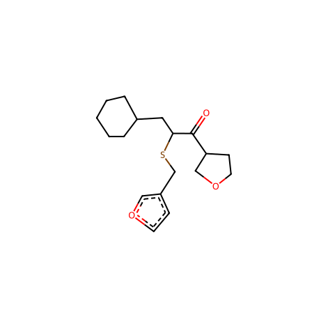 O=C(C1CCOC1)C(CC1CCCCC1)SCc1ccoc1